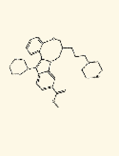 COC(=O)c1ccc2c(C3CCCCC3)c3n(c2c1)CC(CCCN1CCNCC1)COc1ccccc1-3